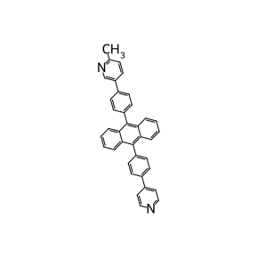 Cc1ccc(-c2ccc(-c3c4ccccc4c(-c4ccc(-c5ccncc5)cc4)c4ccccc34)cc2)cn1